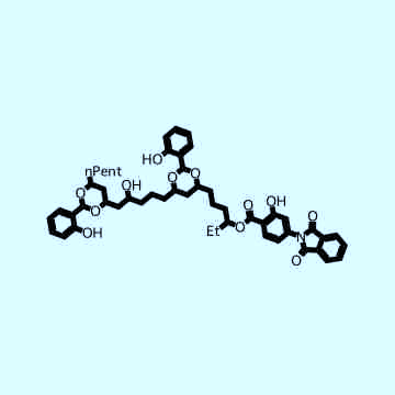 CCCCCC1CC(CC(O)CCCC2CC(CCCC(CC)OC(=O)c3ccc(N4C(=O)c5ccccc5C4=O)cc3O)OC(c3ccccc3O)O2)OC(c2ccccc2O)O1